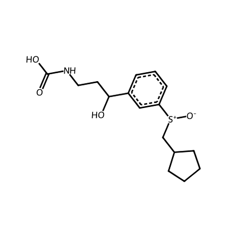 O=C(O)NCCC(O)c1cccc([S+]([O-])CC2CCCC2)c1